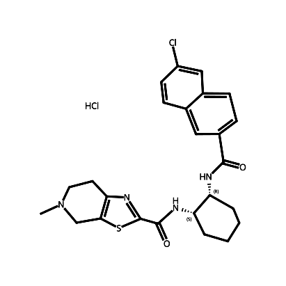 CN1CCc2nc(C(=O)N[C@H]3CCCC[C@H]3NC(=O)c3ccc4cc(Cl)ccc4c3)sc2C1.Cl